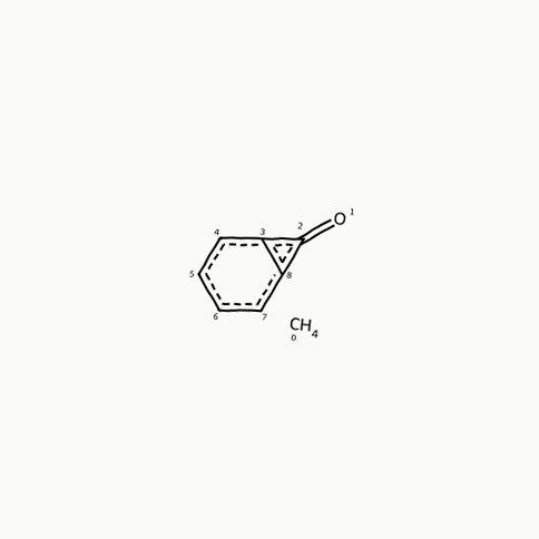 C.O=c1c2ccccc12